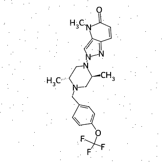 C[C@@H]1CN(n2cc3c(ccc(=O)n3C)n2)[C@@H](C)CN1Cc1ccc(OC(F)(F)F)cc1